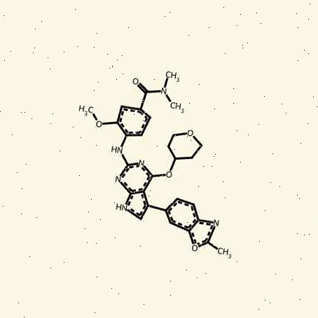 COc1cc(C(=O)N(C)C)ccc1Nc1nc(OC2CCOCC2)c2c(-c3ccc4nc(C)oc4c3)c[nH]c2n1